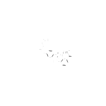 Cc1cccc(C(=O)NO)c1N(C)S(=O)(=O)c1ccc(OC(C)CCN)cc1